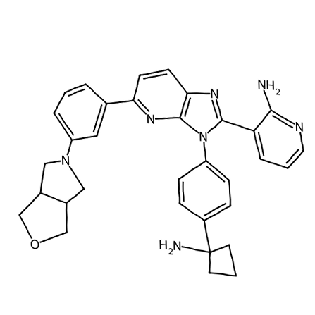 Nc1ncccc1-c1nc2ccc(-c3cccc(N4CC5COCC5C4)c3)nc2n1-c1ccc(C2(N)CCC2)cc1